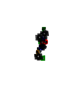 O=C(OC1C[N+]2(CCSc3cccc(Cl)c3)CCC1CC2)N(Cc1ccc(F)cc1)c1ccccc1F